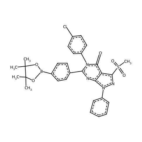 CC1(C)OB(c2ccc(-c3nc4c(c(S(C)(=O)=O)nn4-c4ccccc4)c(=O)n3-c3ccc(Cl)cc3)cc2)OC1(C)C